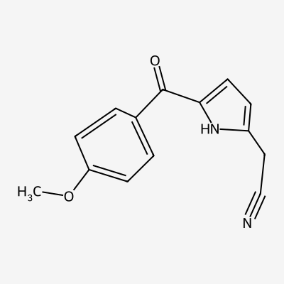 COc1ccc(C(=O)c2ccc(CC#N)[nH]2)cc1